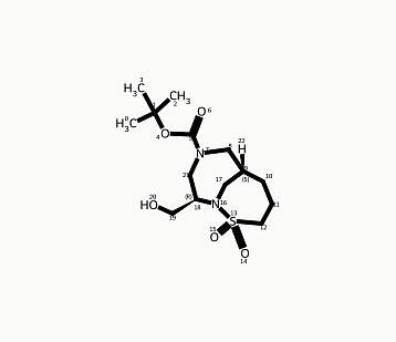 CC(C)(C)OC(=O)N1C[C@@H]2CCCS(=O)(=O)N(C2)[C@@H](CO)C1